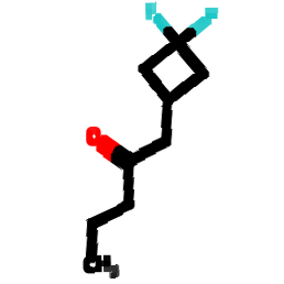 CCCC(=O)CC1CC(F)(F)C1